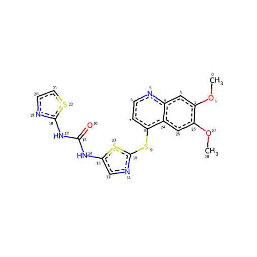 COc1cc2nccc(Sc3ncc(NC(=O)Nc4nccs4)s3)c2cc1OC